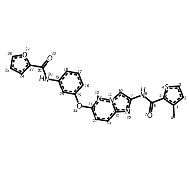 Cc1ccsc1C(=O)Nc1cn2nc(Oc3cccc(NC(=O)c4ccco4)c3)ccc2n1